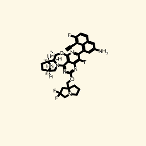 C#Cc1c(F)ccc2cc(N)cc(-c3nc4c5c(nc(OCC67CCCN6CC(F)(F)C7)nc5c3F)N3C[C@H]5CC[C@H](N5)[C@H]3[C@H](C)O4)c12